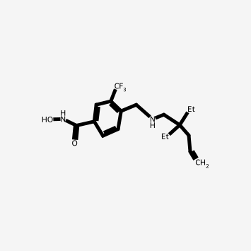 C=CCC(CC)(CC)CNCc1ccc(C(=O)NO)cc1C(F)(F)F